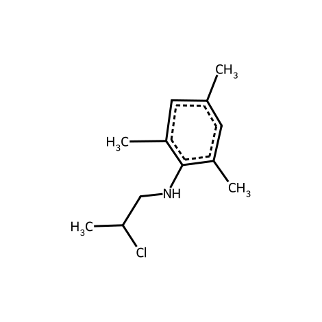 Cc1cc(C)c(NCC(C)Cl)c(C)c1